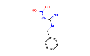 N=C(NCc1ccccc1)NN(O)O